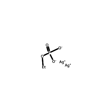 CCOP(=O)([O-])[O-].[Ag+].[Ag+]